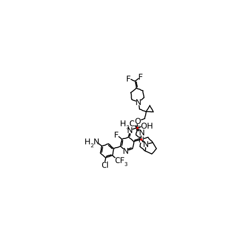 C[C@@H](O)CN1CC2CCC(C1)N2c1nc(OCC2(CN3CCC(=C(F)F)CC3)CC2)nc2c(F)c(-c3cc(N)cc(Cl)c3C(F)(F)F)ncc12